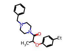 CCc1ccc(OC(C)C(=O)N2CCN(Cc3ccccc3)CC2)cc1